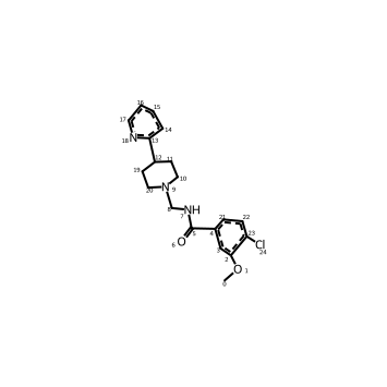 COc1cc(C(=O)NCN2CCC(c3ccccn3)CC2)ccc1Cl